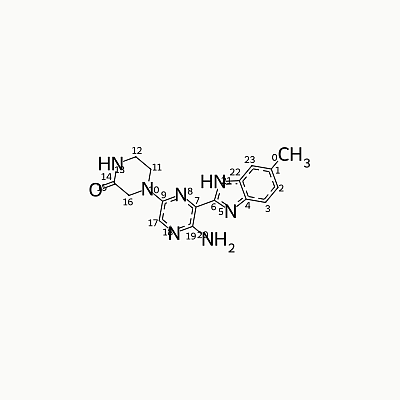 Cc1ccc2nc(-c3nc(N4CCNC(=O)C4)cnc3N)[nH]c2c1